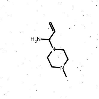 C=CC(N)N1CCN(C)CC1